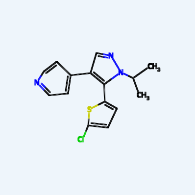 CC(C)n1ncc(-c2ccncc2)c1-c1ccc(Cl)s1